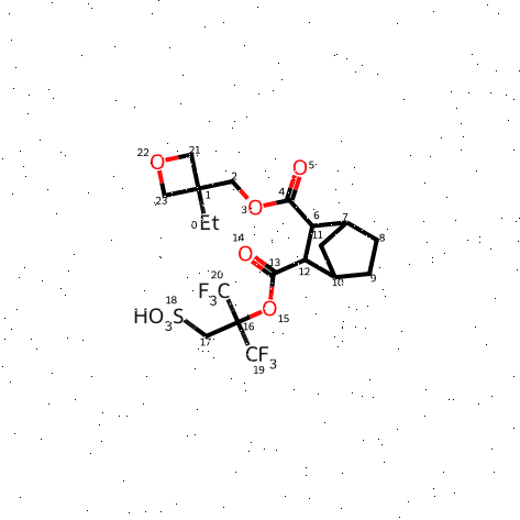 CCC1(COC(=O)C2C3CCC(C3)C2C(=O)OC(CS(=O)(=O)O)(C(F)(F)F)C(F)(F)F)COC1